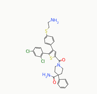 NCCSc1ccc(-c2cc(C(=O)N3CCC(C(N)=O)(c4ccccc4)CC3)sc2-c2ccc(Cl)cc2Cl)cc1